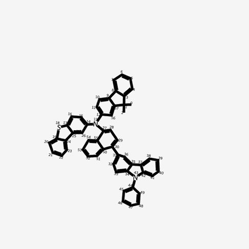 CC1(C)c2ccccc2-c2ccc(N(c3ccc4sc5ccccc5c4c3)c3ccc(-c4ccc5c(c4)c4ccccc4n5-c4ccccc4)c4ccccc34)cc21